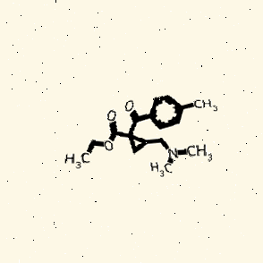 CCOC(=O)C1(C(=O)c2ccc(C)cc2)CC1CN(C)C